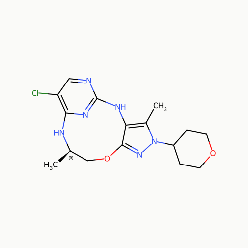 Cc1c2c(nn1C1CCOCC1)OC[C@@H](C)Nc1nc(ncc1Cl)N2